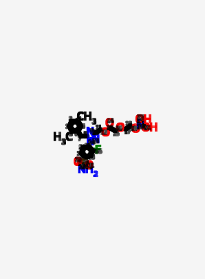 Cc1ccc(C)c(Cc2nc(COC(=O)COCCON(O)O)nn2-c2ccc(S(N)(=O)=O)cc2F)c1